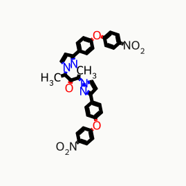 CC(C(=O)C(C)n1ccc(-c2ccc(Oc3ccc([N+](=O)[O-])cc3)cc2)n1)n1ccc(-c2ccc(Oc3ccc([N+](=O)[O-])cc3)cc2)n1